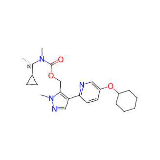 C[C@@H](C1CC1)N(C)C(=O)OCc1c(-c2ccc(OC3CCCCC3)cn2)cnn1C